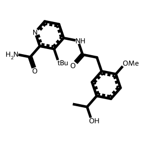 COc1ccc(C(C)O)cc1CC(=O)Nc1ccnc(C(N)=O)c1C(C)(C)C